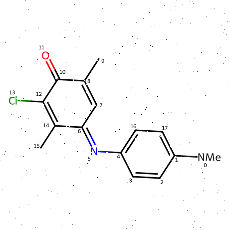 CNc1ccc(/N=C2\C=C(C)C(=O)C(Cl)=C2C)cc1